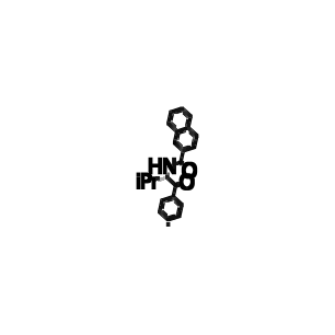 CC(C)[C@H](NC(=O)c1ccc2ccccc2c1)C(=O)c1cc[c]cc1